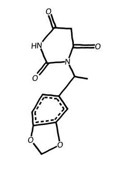 CC(c1ccc2c(c1)OCO2)N1C(=O)CC(=O)NC1=O